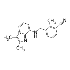 Cc1nc2c(NCc3cccc(C#N)c3C)cccn2c1C